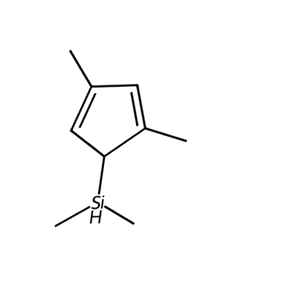 CC1=CC([SiH](C)C)C(C)=C1